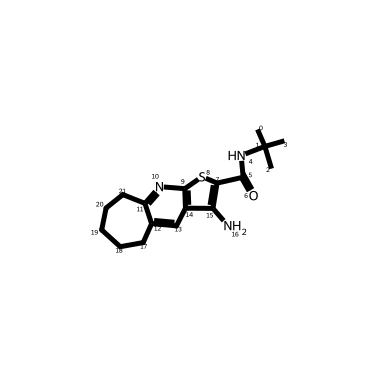 CC(C)(C)NC(=O)c1sc2nc3c(cc2c1N)CCCCC3